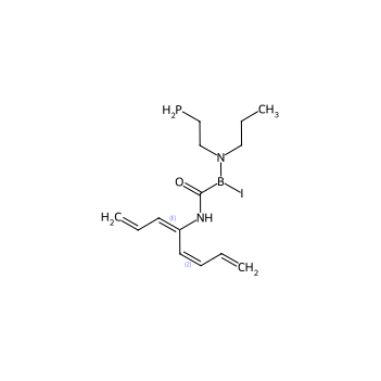 C=C/C=C\C(=C/C=C)NC(=O)B(I)N(CCC)CCP